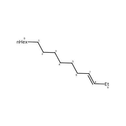 [CH2]CCCCCCCCCCCC=CCC